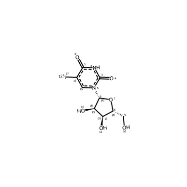 O=c1[nH]c(=O)n([C@@H]2O[C@H](CO)[C@@H](O)[C@H]2O)cc1[123I]